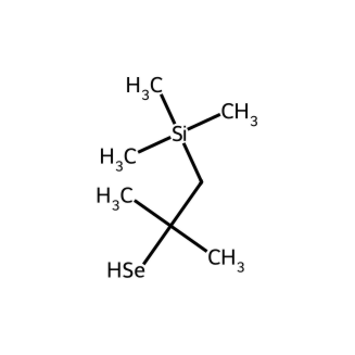 CC(C)([SeH])C[Si](C)(C)C